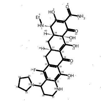 CCN[C@@H]1C(O)=C(C(N)=O)C(=O)[C@@]2(O)C(O)=C3C(=O)c4c(O)c5c(c(F)c4C[C@H]3C[C@@H]12)C(N1CCCC1)CCN5